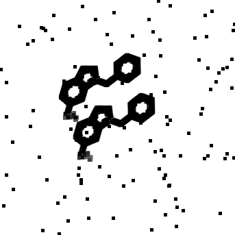 Nc1ccc2ccn(Cc3ccccc3)c2c1.Nc1ccc2ccn(Cc3ccccc3)c2c1